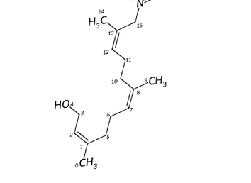 CC(=CCO)CCC=C(C)CCC=C(C)CN=[N+]=[N-]